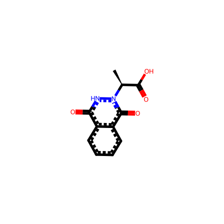 C[C@@H](C(=O)O)n1[nH]c(=O)c2ccccc2c1=O